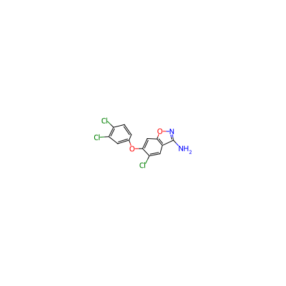 Nc1noc2cc(Oc3ccc(Cl)c(Cl)c3)c(Cl)cc12